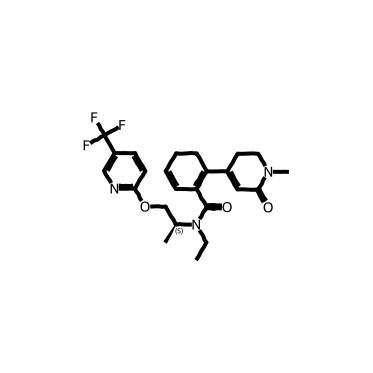 CCN(C(=O)C1=C(C2=CC(=O)N(C)CC2)CCC=C1)[C@@H](C)COc1ccc(C(F)(F)F)cn1